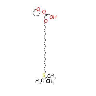 CC(C)(C)SCCCCCCCCCCCCCCCCOC[C@H](CO)OC1CCCCO1